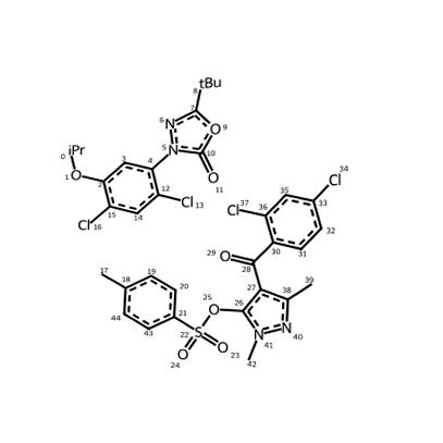 CC(C)Oc1cc(-n2nc(C(C)(C)C)oc2=O)c(Cl)cc1Cl.Cc1ccc(S(=O)(=O)Oc2c(C(=O)c3ccc(Cl)cc3Cl)c(C)nn2C)cc1